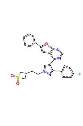 O=S1(=O)CC(CCn2cc(-c3ncnc4oc(-c5ccccc5)cc34)c(-c3ccc(F)cc3)n2)C1